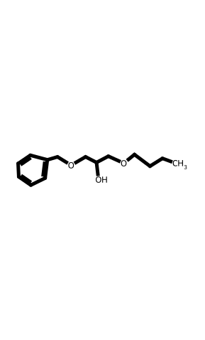 CCCCOCC(O)COCc1ccccc1